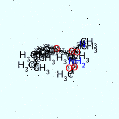 CCC(=O)OC/C=C\C(C)(N)C(C)C(CCCCCO[C@H]1CC[C@@]2(C)C(=CCC3C4CC[C@H]([C@H](C)CCCC(C)C)C4[C@H](C)CC32)C1)OC(=O)CCCN(C)C